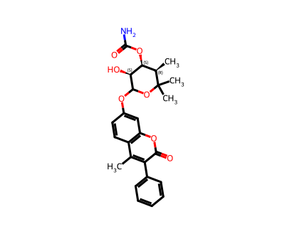 Cc1c(-c2ccccc2)c(=O)oc2cc(OC3OC(C)(C)[C@H](C)[C@H](OC(N)=O)[C@@H]3O)ccc12